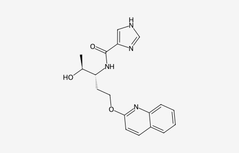 C[C@H](O)[C@@H](CCOc1ccc2ccccc2n1)NC(=O)c1c[nH]cn1